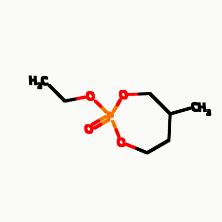 CCOP1(=O)OCCC(C)CO1